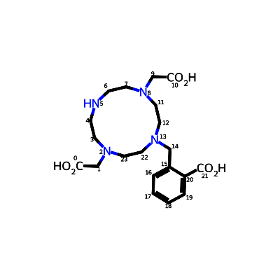 O=C(O)CN1CCNCCN(CC(=O)O)CCN(Cc2ccccc2C(=O)O)CC1